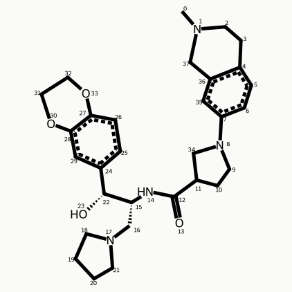 CN1CCc2ccc(N3CCC(C(=O)N[C@H](CN4CCCC4)[C@H](O)c4ccc5c(c4)OCCO5)C3)cc2C1